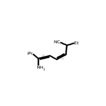 CCC(C#N)/C=C\C=C(/N)C(C)C